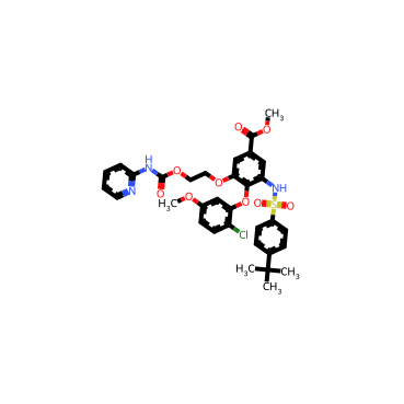 COC(=O)c1cc(NS(=O)(=O)c2ccc(C(C)(C)C)cc2)c(Oc2cc(OC)ccc2Cl)c(OCCOC(=O)Nc2ccccn2)c1